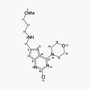 COCCCNCc1cc2nc(Cl)nc(N3CCOCC3)c2s1